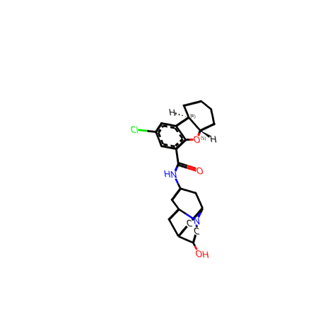 O=C(NC1CC2CC3CC(C1)N2CC3O)c1cc(Cl)cc2c1O[C@H]1CCCC[C@H]21